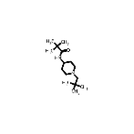 CC(C)(C)CN1CCC(NC(=O)C(C)(C)C)CC1